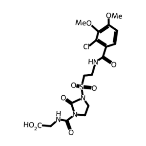 COc1ccc(C(=O)NCCS(=O)(=O)N2CCN(C(=O)NCC(=O)O)C2=O)c(Cl)c1OC